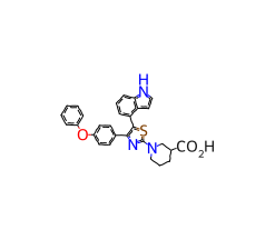 O=C(O)C1CCCN(c2nc(-c3ccc(Oc4ccccc4)cc3)c(-c3cccc4[nH]ccc34)s2)C1